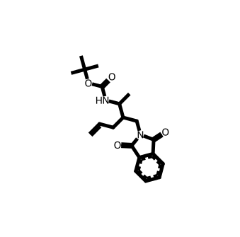 C=CCC(CN1C(=O)c2ccccc2C1=O)C(C)NC(=O)OC(C)(C)C